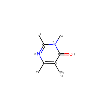 Cc1nc(C)n(C)c(=O)c1C(C)C